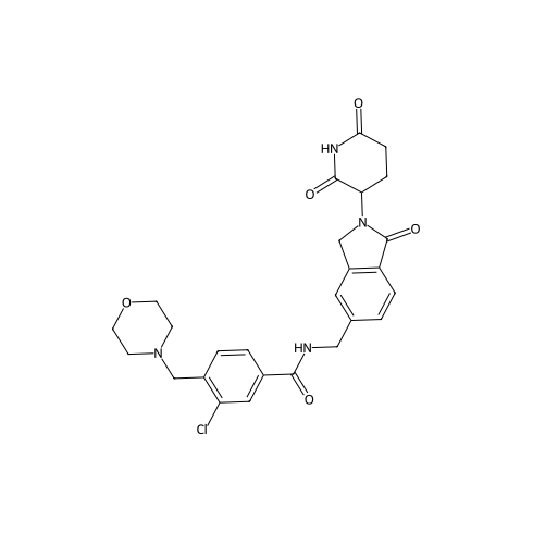 O=C1CCC(N2Cc3cc(CNC(=O)c4ccc(CN5CCOCC5)c(Cl)c4)ccc3C2=O)C(=O)N1